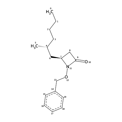 CCCC[C@@H](C)C[C@H]1CC(=O)N1OCc1ccccc1